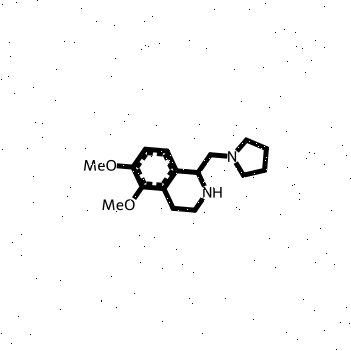 COc1ccc2c(c1OC)CCNC2CN1CCCC1